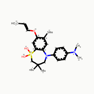 CCCCC1(CCCC)CN(c2ccc(N(C)C)cc2)c2cc(SC)c(O/C=C/C(=O)O)cc2S(O)(O)C1